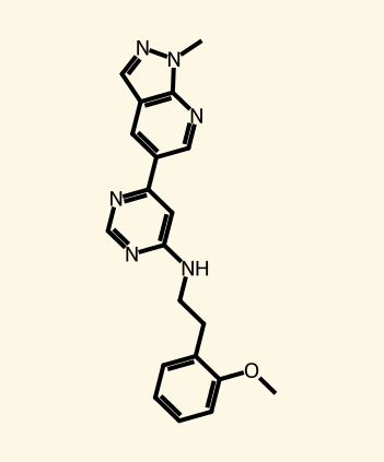 COc1ccccc1CCNc1cc(-c2cnc3c(cnn3C)c2)ncn1